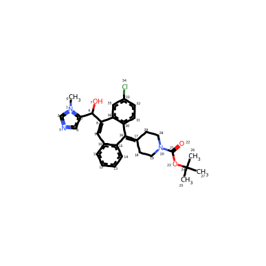 Cn1cncc1C(O)C1=Cc2ccccc2C(=C2CCN(C(=O)OC(C)(C)C)CC2)c2ccc(Cl)cc21